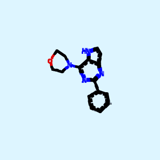 [c]1cccc(-c2nc(N3CCOCC3)c3[nH]ccc3n2)c1